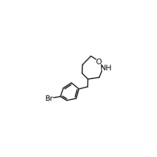 Brc1ccc(CC2CCCONC2)cc1